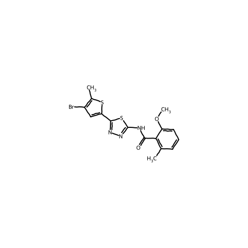 COc1cccc(C)c1C(=O)Nc1nnc(-c2cc(Br)c(C)s2)s1